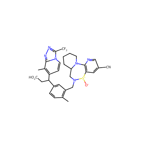 Cc1ccc(C(CC(=O)O)c2ccn3c(C(F)(F)F)nnc3c2C)cc1CN1CC2CCCCN2c2ncc(C#N)cc2[S+]1[O-]